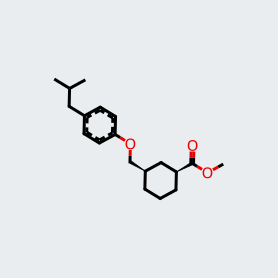 COC(=O)[C@H]1CCC[C@@H](COc2ccc(CC(C)C)cc2)C1